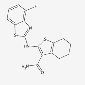 NC(=O)c1c(Nc2nc3c(F)cccc3s2)sc2c1CCCC2